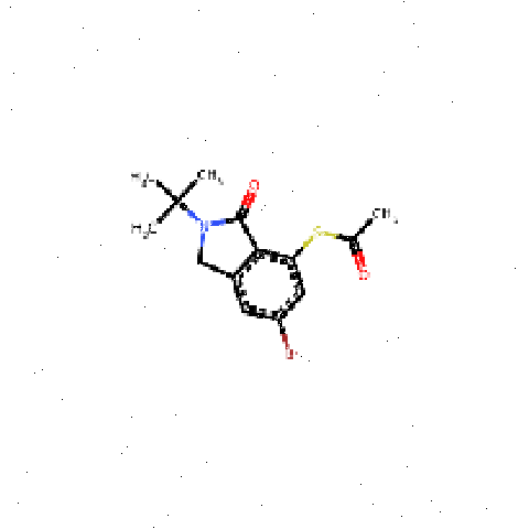 CC(=O)Sc1cc(Br)cc2c1C(=O)N(C(C)(C)C)C2